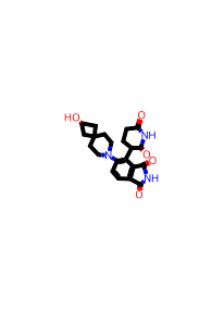 O=C1CCC(c2c(N3CCC4(CC3)CC(O)C4)ccc3c2C(=O)NC3=O)C(=O)N1